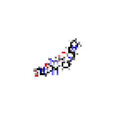 Cn1nc(-c2cccc(N3CCc4c(cc5n4CCCC5)C3=O)c2CO)cc(Nc2cc3n(n2)CCOC3)c1=O